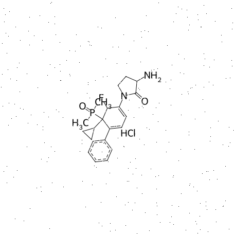 CP(C)(=O)C1(C2CC2)C(c2ccccc2)=CC=C(N2CCC(N)C2=O)C1F.Cl